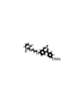 COc1ccc(C2CN(C)Cc3cc(OCCCN=C4N(C)C=CCN4C)ccc32)cc1